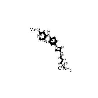 COc1cc(Nc2ccc(N3CC(OCCCS(N)(=O)=O)C3)cc2)c(NC(C)=O)cn1